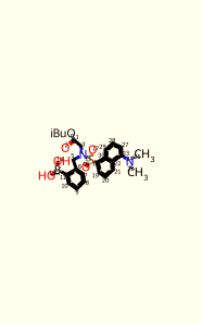 CC(C)COC(=O)CN(Cc1ccccc1B(O)O)S(=O)(=O)c1cccc2c(N(C)C)cccc12